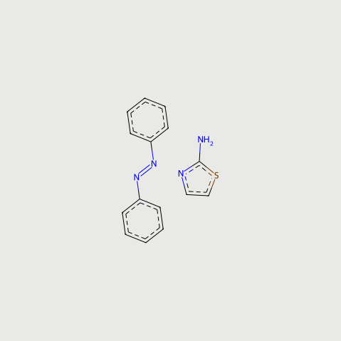 Nc1nccs1.c1ccc(N=Nc2ccccc2)cc1